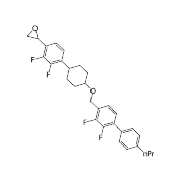 CCCc1ccc(-c2ccc(COC3CCC(c4ccc(C5CO5)c(F)c4F)CC3)c(F)c2F)cc1